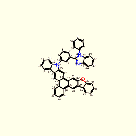 c1ccc(-n2c(-c3cccc(-n4c5ccccc5c5cc6c7ccccc7c7cc8c(cc7c6cc54)oc4ccccc48)c3)nc3ccccc32)cc1